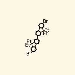 CCC1(CC)c2cc(Br)ccc2-c2ccc(-c3ccc4c(c3)C(CC)(CC)c3cc(Br)ccc3-4)cc21